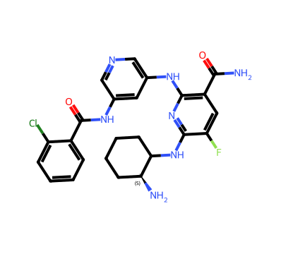 NC(=O)c1cc(F)c(NC2CCCC[C@@H]2N)nc1Nc1cncc(NC(=O)c2ccccc2Cl)c1